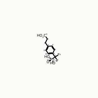 O=C(O)CCc1ccc(C(F)(F)P(=O)(O)O)cc1